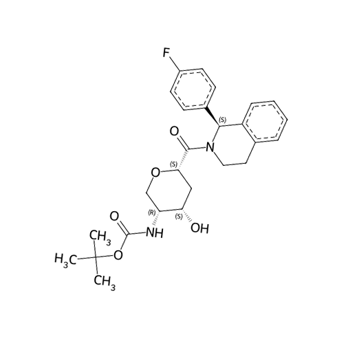 CC(C)(C)OC(=O)N[C@@H]1CO[C@H](C(=O)N2CCc3ccccc3[C@@H]2c2ccc(F)cc2)C[C@@H]1O